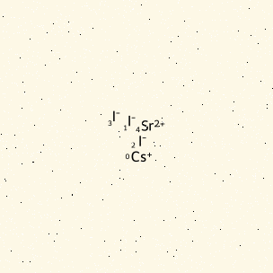 [Cs+].[I-].[I-].[I-].[Sr+2]